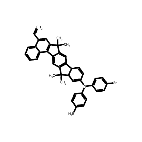 Bc1ccc(N(C2=CC3C(C=C2)c2cc4c(cc2C3(C)C)-c2c(cc(C=C)c3ccccc23)C4(C)C)c2ccc(Br)cc2)cc1